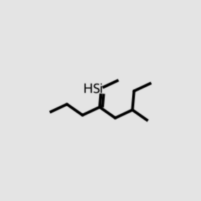 CCCC(CC(C)CC)=[SiH]C